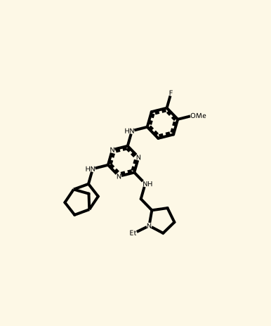 CCN1CCCC1CNc1nc(Nc2ccc(OC)c(F)c2)nc(NC2CC3CCC2C3)n1